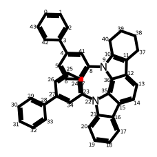 c1ccc(-c2cccc(-n3c4c(c5ccc6c7ccccc7n(-c7cccc(-c8ccccc8)c7)c6c53)CCCC4)c2)cc1